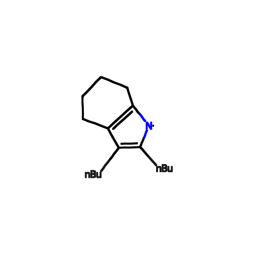 CCCCC1=C(CCCC)C2=C(CCCC2)[N]1